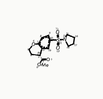 COC(=O)[C@@H]1CCOc2ccc(S(=O)(=O)N3CCCC3)cc21